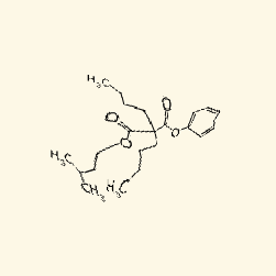 CCCCC(CCCC)(C(=O)OCCC(C)C)C(=O)Oc1ccccc1